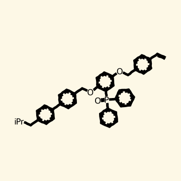 C=Cc1ccc(COc2ccc(OCc3ccc(-c4ccc(CC(C)C)cc4)cc3)c(P(=O)(c3ccccc3)c3ccccc3)c2)cc1